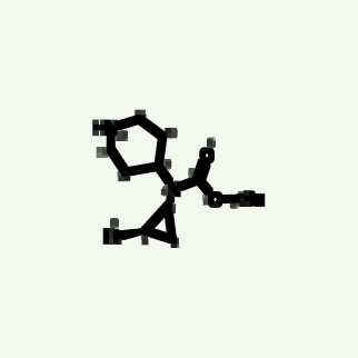 CC[C@@H]1C[C@H]1N(C(=O)OC(C)(C)C)C1CCNCC1